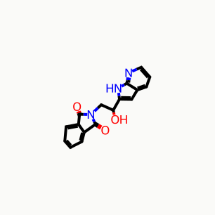 O=C1c2ccccc2C(=O)N1CC(O)c1cc2cccnc2[nH]1